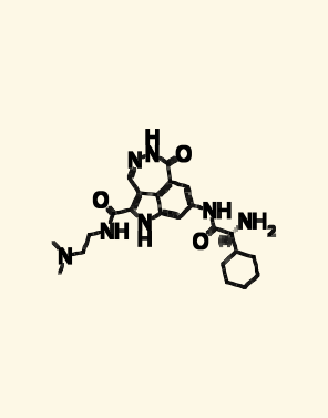 CN(C)CCNC(=O)c1[nH]c2cc(NC(=O)[C@H](N)C3CCCCC3)cc3c2c1C=NNC3=O